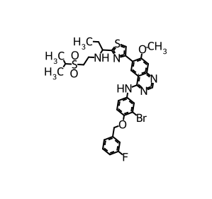 CCC(NCCS(=O)(=O)C(C)C)c1nc(-c2cc3c(Nc4ccc(OCc5cccc(F)c5)c(Br)c4)ncnc3cc2OC)cs1